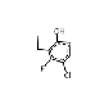 CCc1c(O)ccc(Cl)c1F